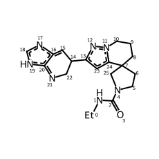 CCNC(=O)N1CCC2(CCCn3nc(C4C=c5nc[nH]c5=NC4)cc32)C1